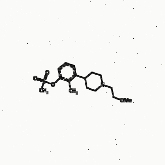 COCCN1CCC(c2cccc(OS(C)(=O)=O)c2C)CC1